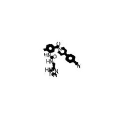 Cc1ccc(C(=O)N2CCC(c3ccc(C#N)cc3)CC2)cc1NC(=O)NCc1nnn[nH]1